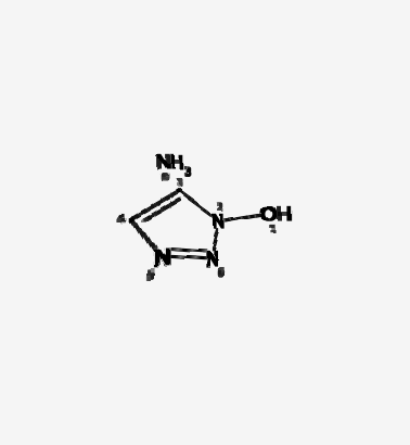 N.On1ccnn1